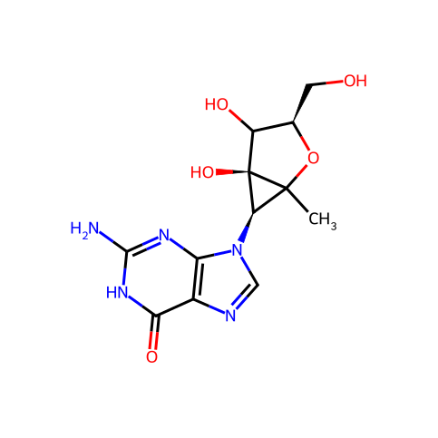 CC12O[C@H](CO)C(O)[C@@]1(O)[C@@H]2n1cnc2c(=O)[nH]c(N)nc21